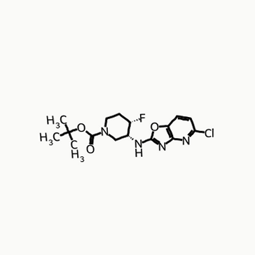 CC(C)(C)OC(=O)N1CC[C@H](F)[C@H](Nc2nc3nc(Cl)ccc3o2)C1